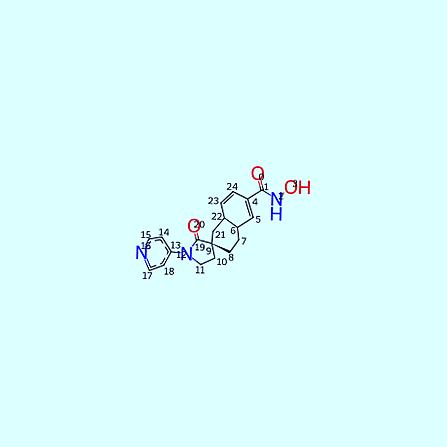 O=C(NO)C1=CC2CC[C@]3(CCN(c4ccncc4)C3=O)CC2C=C1